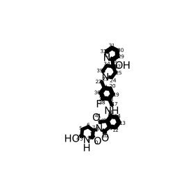 O=C1NC(O)CCC1N1C(=O)c2cccc(NCc3ccc(CN4CCC(O)(c5ccccn5)CC4)cc3F)c2C1=O